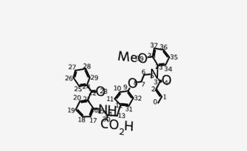 C/C=C/C(=O)N(CCOc1ccc(C[C@H](Nc2ccccc2C(=O)c2ccccc2)C(=O)O)cc1)c1ccccc1OC